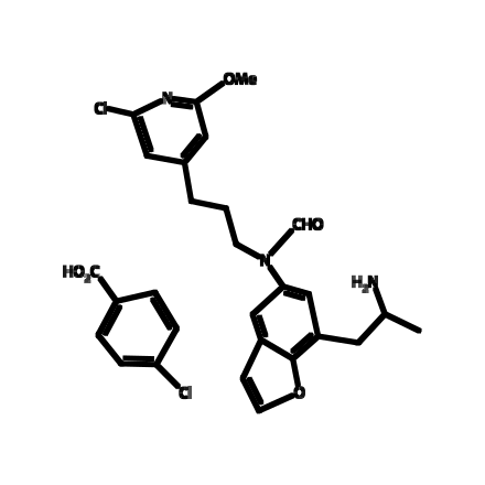 COc1cc(CCCN(C=O)c2cc(CC(C)N)c3occc3c2)cc(Cl)n1.O=C(O)c1ccc(Cl)cc1